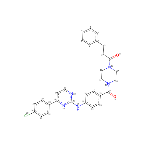 O=C(CCc1ccccc1)N1CCN(C(=O)c2ccc(Nc3nccc(-c4ccc(Cl)cc4)n3)cc2)CC1